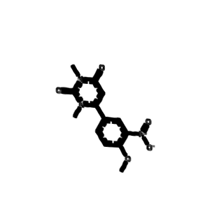 COc1ccc(-c2cc(=O)n(C)c(=O)n2C)cc1[N+](=O)[O-]